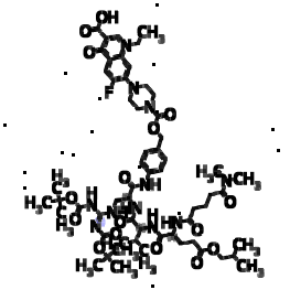 CCn1cc(C(=O)O)c(=O)c2cc(F)c(N3CCN(C(=O)OCc4ccc(NC(=O)[C@H](CN/C(=N\C(=O)OC(C)(C)C)NC(=O)OC(C)(C)C)NC(=O)[C@@H](NC(=O)[C@H](CCC(=O)OCC(C)C)NC(=O)CCCC(=O)N(C)C)C(C)C)cc4)CC3)cc21